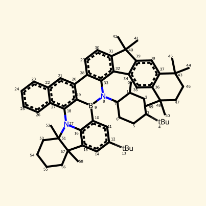 CC1CC(C(C)(C)C)CCC1N1B2c3cc(C(C)(C)C)cc4c3N(c3c2c(cc2ccccc32)-c2ccc3c(c21)-c1cc2c(cc1C3(C)C)C(C)(C)CCC2(C)C)C1(C)CCCCC41C